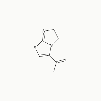 C=C(C)C1=CSC2=NCCN12